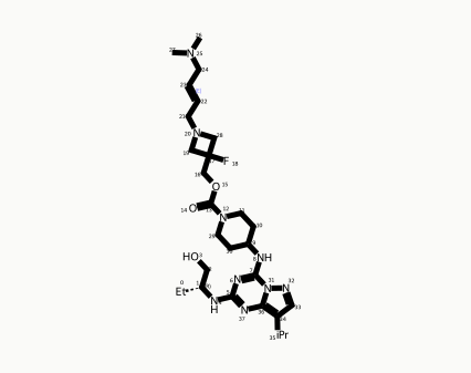 CC[C@H](CO)Nc1nc(NC2CCN(C(=O)OCC3(F)CN(C/C=C/CN(C)C)C3)CC2)n2ncc(C(C)C)c2n1